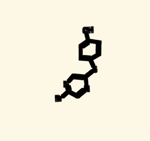 Oc1ccc(Sc2cnc(Br)cn2)cc1